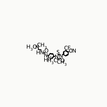 CN(C)CCNC(=O)Nc1ccc(N2C(=S)N(c3ccc(C#N)c(C(F)(F)F)c3)C(=O)C2(C)C)cn1